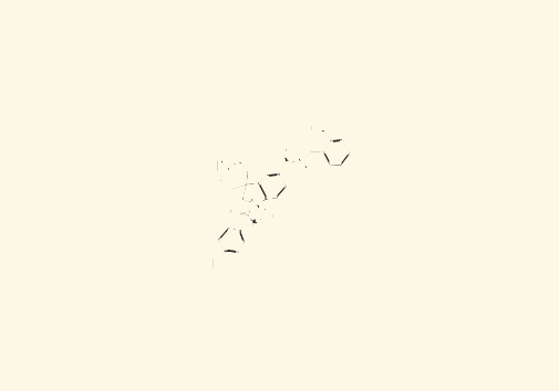 CC(=O)[N+]1(S(=O)(=O)c2ccc(F)cc2)CC2(CCNCC2)c2cc(C(=O)NCc3ccccc3Cl)ccc21